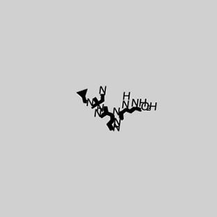 N#CCC1(n2cc(-c3nc(C(=N)/C=C(\N)CO)cn4nccc34)cn2)CN(CC2CC2)C1